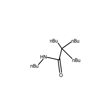 CCCCNC(=O)C(CCCC)(CCCC)CCCC